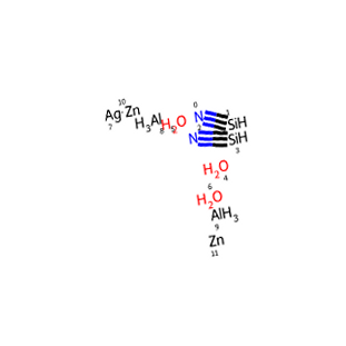 N#[SiH].N#[SiH].O.O.O.[Ag].[AlH3].[AlH3].[Zn].[Zn]